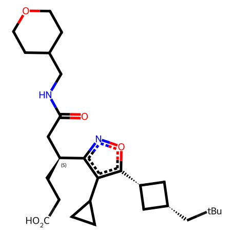 CC(C)(C)C[C@H]1C[C@@H](c2onc([C@@H](CCC(=O)O)CC(=O)NCC3CCOCC3)c2C2CC2)C1